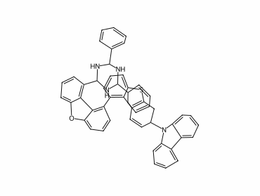 C1=CCC(C2NC(c3ccccc3)NC(c3cccc4oc5cccc(-c6cccc7sc8c(c67)C=CC(n6c7ccccc7c7ccccc76)C8)c5c34)N2)C=C1